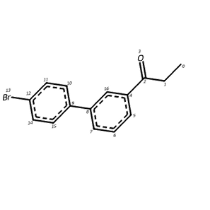 CCC(=O)c1cccc(-c2ccc(Br)cc2)c1